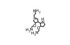 NCCN1CC(OCN)C(C2NCCC2OCN)C1